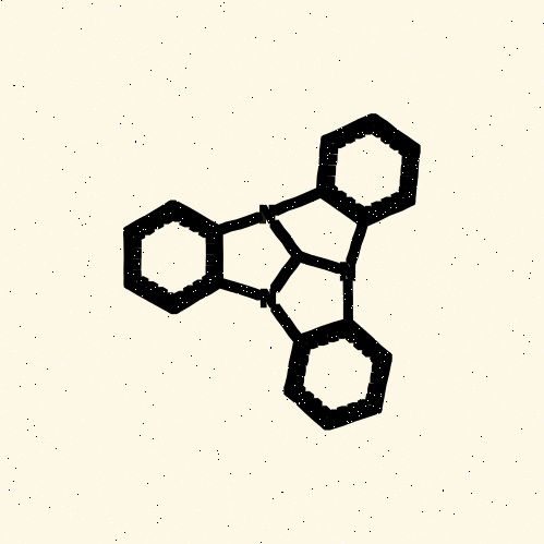 c1ccc2c(c1)N1c3ccccc3N3c4ccccc4N2C13